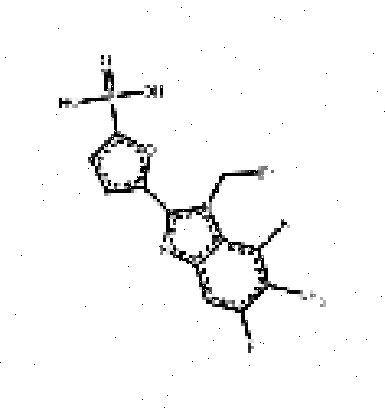 CC(C)Cn1c(-c2ccc(P(=O)(O)O)o2)nc2cc(F)c(N)c(Br)c21